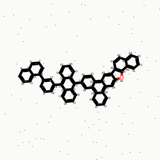 c1cc(-c2cccc3ccccc23)cc(-c2c3ccccc3c(-c3ccc4c(c3)c3ccccc3c3cc5oc6c7ccccc7ccc6c5cc43)c3ccccc23)c1